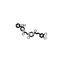 O=C(C=Cc1ccc(Cl)c(Cl)c1)N1CCC(=O)N(CCC(=O)N2CCC(O)(c3ccccc3)CC2)CC1